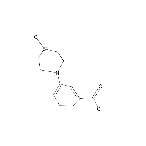 COC(=O)c1cccc(N2CC[S+]([O-])CC2)c1